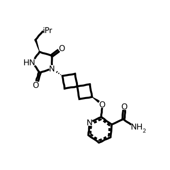 CC(C)C[C@@H]1NC(=O)N([C@H]2CC3(C[C@H](Oc4ncccc4C(N)=O)C3)C2)C1=O